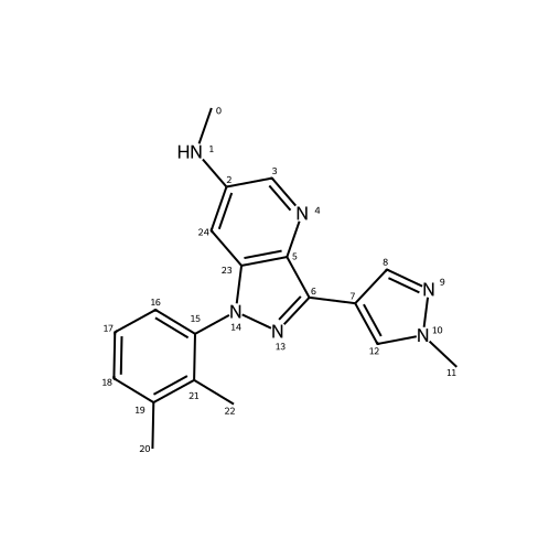 CNc1cnc2c(-c3cnn(C)c3)nn(-c3cccc(C)c3C)c2c1